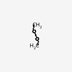 C=CCCc1ccc(C#Cc2ccc(CCC=C)cc2)cc1